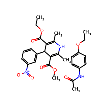 CCOC(=O)C1=C(C)NC(C)=C(C(=O)OC)C1c1cccc([N+](=O)[O-])c1.CCOc1ccc(NC(C)=O)cc1